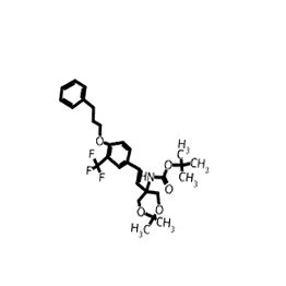 CC(C)(C)OC(=O)NC1(/C=C/c2ccc(OCCCc3ccccc3)c(C(F)(F)F)c2)COC(C)(C)OC1